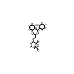 O=C(CCC1CCN2C[C@H]1OC2=O)OC(c1ccccc1)c1ccccc1